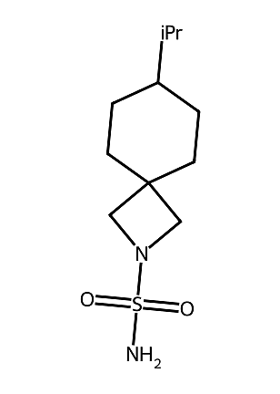 CC(C)C1CCC2(CC1)CN(S(N)(=O)=O)C2